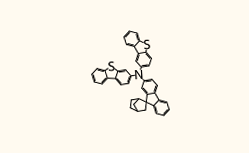 c1ccc2c(c1)-c1ccc(N(c3ccc4c(c3)sc3ccccc34)c3ccc4sc5ccccc5c4c3)cc1C21CC2CCC1C2